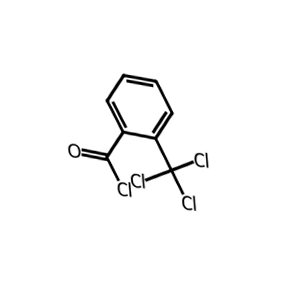 O=C(Cl)c1ccccc1C(Cl)(Cl)Cl